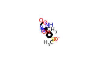 C[S+]([O-])c1ccc(C2=NN3CC(=O)ONC2(C)C3O)cc1